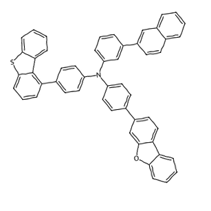 c1cc(-c2ccc3ccccc3c2)cc(N(c2ccc(-c3ccc4c(c3)oc3ccccc34)cc2)c2ccc(-c3cccc4sc5ccccc5c34)cc2)c1